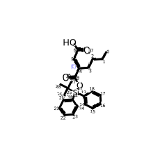 CCCC/C(=C\C(=O)O)C(=O)O[Si](c1ccccc1)(c1ccccc1)C(C)(C)C